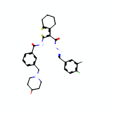 O=C(Nc1sc2c(c1C(=O)NN=Cc1ccc(Cl)c(C(F)(F)F)c1)CCCC2)c1cccc(CN2CCC(O)CC2)c1